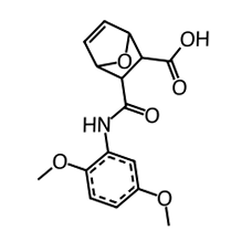 COc1ccc(OC)c(NC(=O)C2C3C=CC(O3)C2C(=O)O)c1